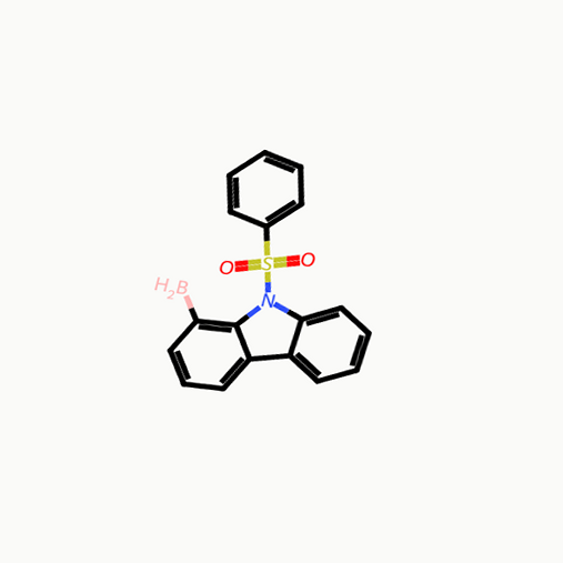 Bc1cccc2c3ccccc3n(S(=O)(=O)c3ccccc3)c12